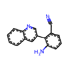 N#Cc1cccc(N)c1-c1cnc2ccccc2c1